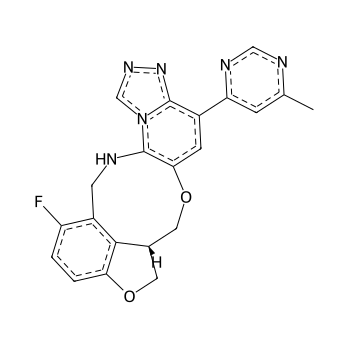 Cc1cc(-c2cc3c(n4cnnc24)NCc2c(F)ccc4c2[C@@H](CO4)CO3)ncn1